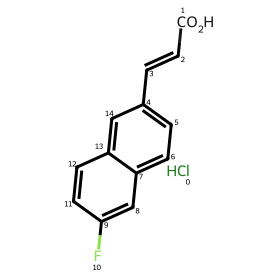 Cl.O=C(O)C=Cc1ccc2cc(F)ccc2c1